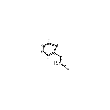 [S]=[SnH][CH2]c1ccccc1